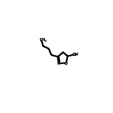 CCCCC1=NOC(O)C1